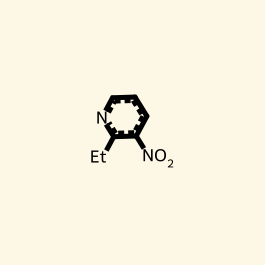 CCc1ncccc1[N+](=O)[O-]